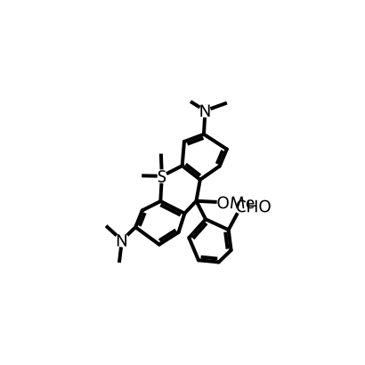 COC1(c2ccccc2C=O)c2ccc(N(C)C)cc2S(C)(C)c2cc(N(C)C)ccc21